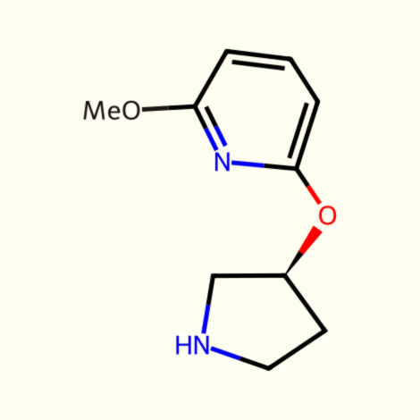 COc1cccc(O[C@H]2CCNC2)n1